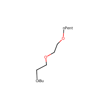 CCCCCOCCOCCOCC(C)C